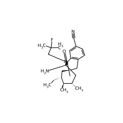 CC[C@@H]1C[C@@]2(Cc3ccc(C#N)cc3[C@]23N=C(N)N(CC(C)(C)F)C3=O)C[C@H](C)[C@H]1C